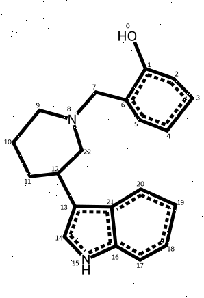 Oc1ccccc1CN1CCCC(c2c[nH]c3ccccc23)C1